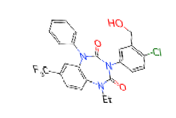 CCN1C(=O)N(c2ccc(Cl)c(CO)c2)C(=O)N(c2ccccc2)c2cc(C(F)(F)F)ccc21